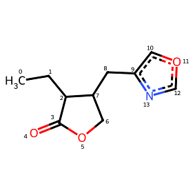 CCC1C(=O)OCC1Cc1cocn1